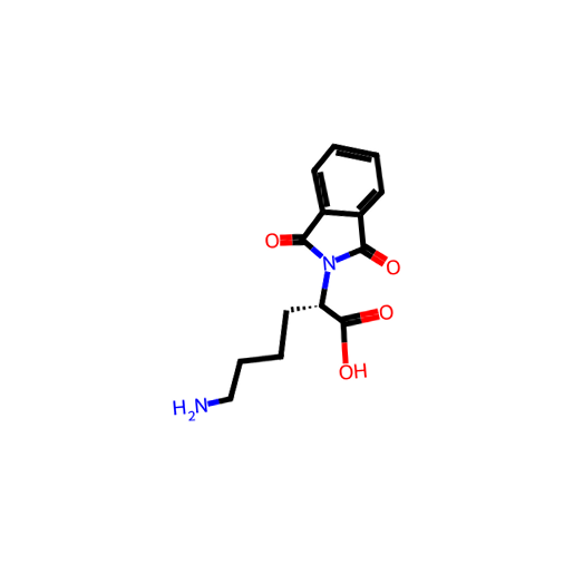 NCCCC[C@@H](C(=O)O)N1C(=O)c2ccccc2C1=O